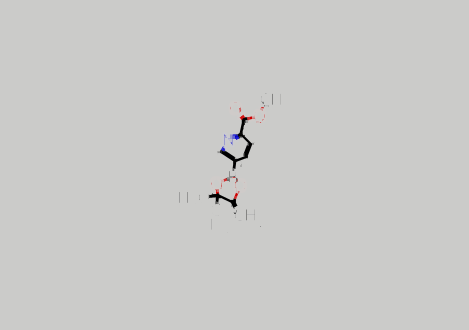 C=C1OB(c2ccc(C(=O)OC)nc2)OC1(C)C